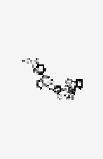 COc1cc(CC(=O)N2CCCC2N(C)c2ccc(C(=O)O)nc2)ccc1NC(=O)Nc1ccccc1Cl